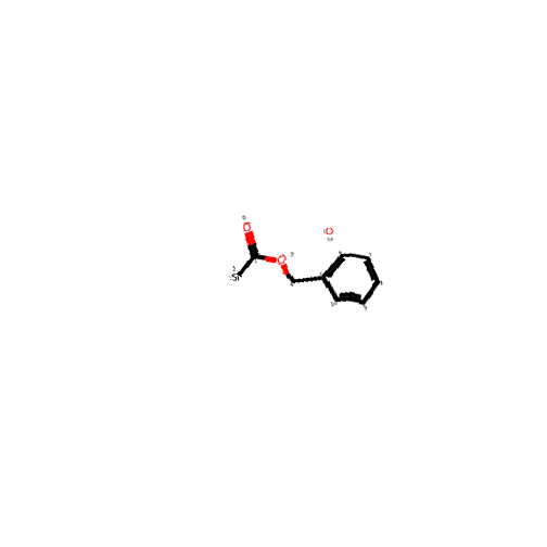 O=C([Si])OCc1ccccc1.[O]